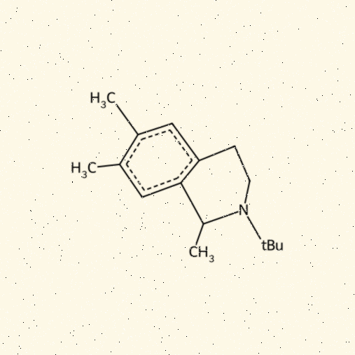 Cc1cc2c(cc1C)C(C)N(C(C)(C)C)CC2